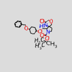 CC(C)(C)OC(=O)N1CCC2(COCC(=O)N2)C1COC1CCC(OCc2ccccc2)CC1